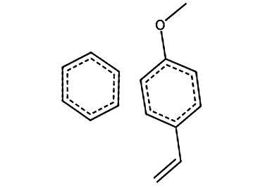 C=Cc1ccc(OC)cc1.c1ccccc1